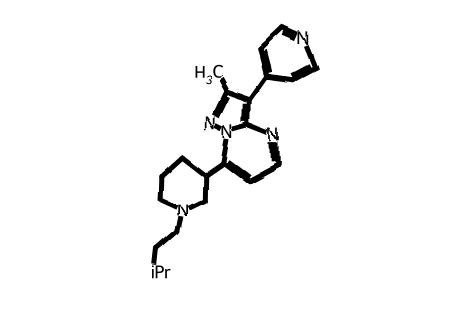 Cc1nn2c(C3CCCN(CCC(C)C)C3)ccnc2c1-c1ccncc1